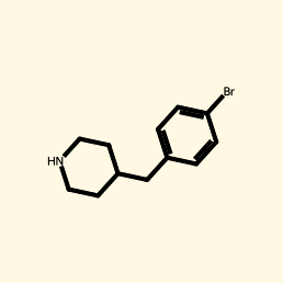 Brc1ccc(CC2CCNCC2)cc1